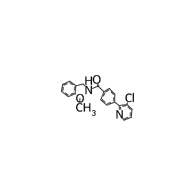 COc1ccccc1CNC(=O)c1ccc(-c2ncccc2Cl)cc1